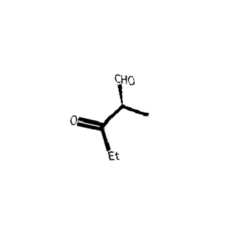 CCC(=O)[C@H](C)C=O